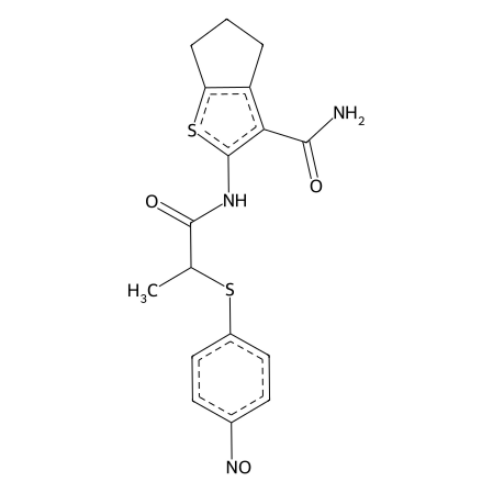 CC(Sc1ccc(N=O)cc1)C(=O)Nc1sc2c(c1C(N)=O)CCC2